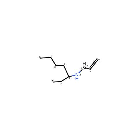 C=C[SiH2]NC(CC)CCCC